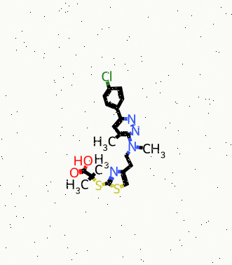 Cc1cc(-c2ccc(Cl)cc2)nnc1N(C)CCc1csc(SC(C)(C)C(=O)O)n1